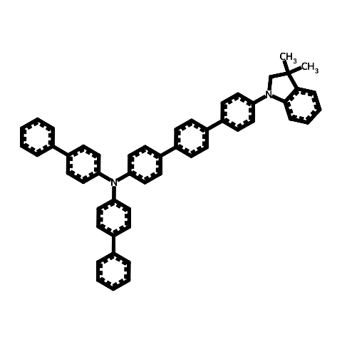 CC1(C)CN(c2ccc(-c3ccc(-c4ccc(N(c5ccc(-c6ccccc6)cc5)c5ccc(-c6ccccc6)cc5)cc4)cc3)cc2)c2ccccc21